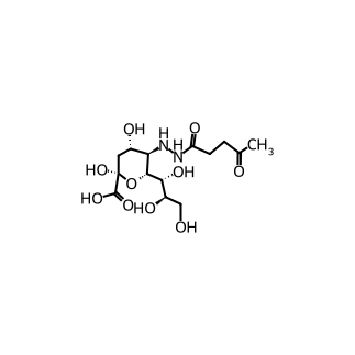 CC(=O)CCC(=O)NN[C@H]1[C@H]([C@H](O)[C@H](O)CO)O[C@@](O)(C(=O)O)C[C@@H]1O